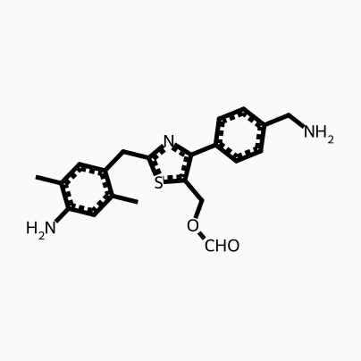 Cc1cc(Cc2nc(-c3ccc(CN)cc3)c(COC=O)s2)c(C)cc1N